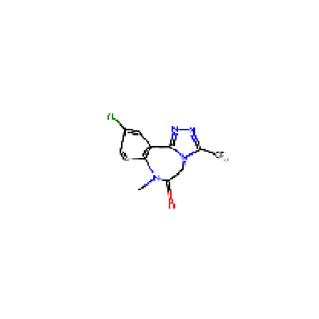 CN1C(=O)Cn2c(nnc2C(F)(F)F)-c2cc(Cl)ccc21